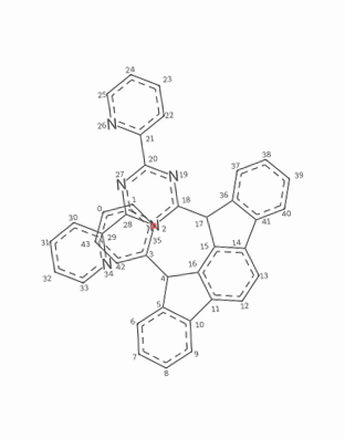 c1ccc(C2c3ccccc3-c3ccc4c(c32)C(c2nc(-c3ccccn3)nc(-c3ccccn3)n2)c2ccccc2-4)cc1